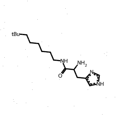 CC(C)(C)CCCCCCNC(=O)C(N)Cc1c[nH]cn1